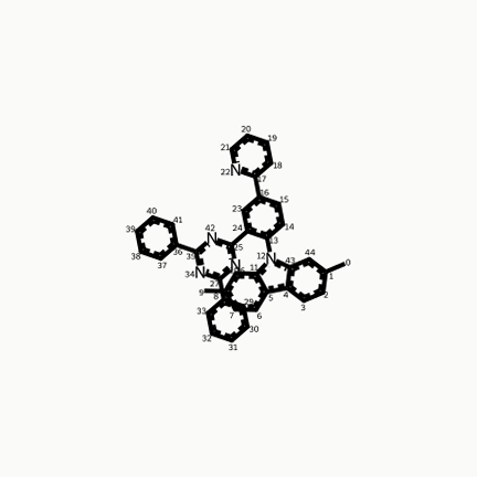 Cc1ccc2c3ccc(C)cc3n(-c3ccc(-c4ccccn4)cc3-c3nc(-c4ccccc4)nc(-c4ccccc4)n3)c2c1